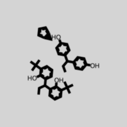 CCC(c1ccc(O)cc1)c1ccc(O)cc1.CCC(c1cccc(C(C)(C)C)c1O)c1cccc(C(C)(C)C)c1O.c1cc2cc-2c1